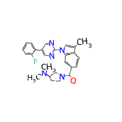 Cc1cn(-c2ncc(-c3ccccc3F)cn2)c2cc(C(=O)N3CC[C@@H](N(C)C)C3)ccc12